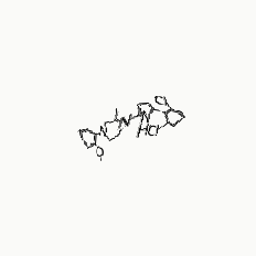 COc1ccccc1N1CCN(c2ccc(-c3c(Cl)cccc3Cl)[nH]2)C(C)C1